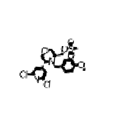 COc1ccc(CN2[C@H](COS(C)(=O)=O)COC[C@H]2c2cc(Cl)nc(Cl)c2)cc1